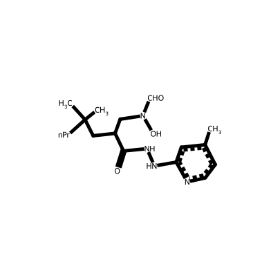 CCCC(C)(C)CC(CN(O)C=O)C(=O)NNc1cc(C)ccn1